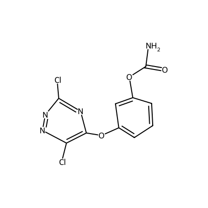 NC(=O)Oc1cccc(Oc2nc(Cl)nnc2Cl)c1